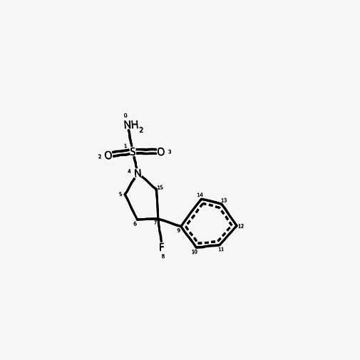 NS(=O)(=O)N1CCC(F)(c2ccccc2)C1